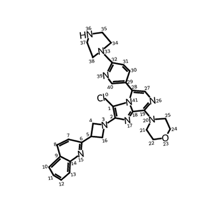 Clc1c(N2CC(c3ccc4ccccc4n3)C2)nc2c(N3CCOCC3)ncc(-c3ccc(N4CCNCC4)nc3)n12